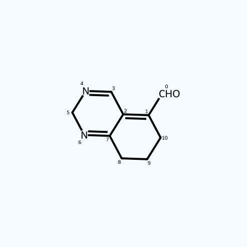 O=CC1=C2C=NCN=C2CCC1